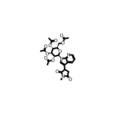 CC(=O)OC[C@H]1O[C@@H](n2cc(C3CC(=O)N(C)C3=O)c3cccnc32)[C@H](OC(C)=O)[C@@H](OC(C)=O)[C@@H]1OC(C)=O